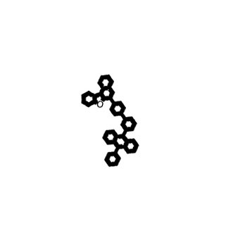 c1ccc(-c2c3ccccc3c(-c3cccc(-c4ccc(-c5cc6ccccc6c6c5oc5ccccc56)cc4)c3)c3ccccc23)cc1